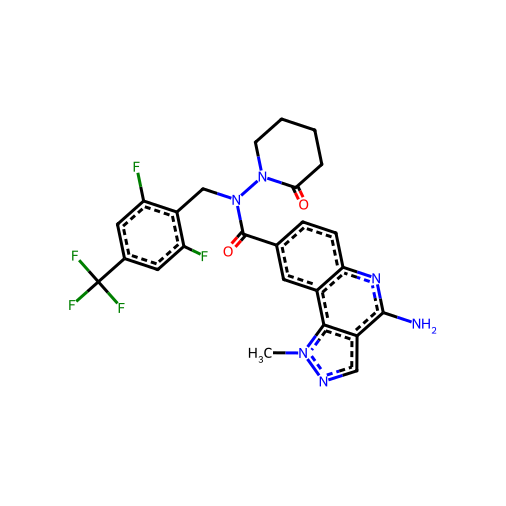 Cn1ncc2c(N)nc3ccc(C(=O)N(Cc4c(F)cc(C(F)(F)F)cc4F)N4CCCCC4=O)cc3c21